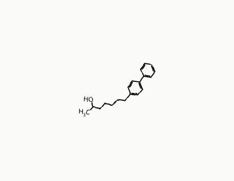 CC(O)CCCCCc1ccc(-c2ccccc2)cc1